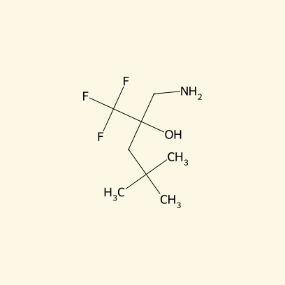 CC(C)(C)CC(O)(CN)C(F)(F)F